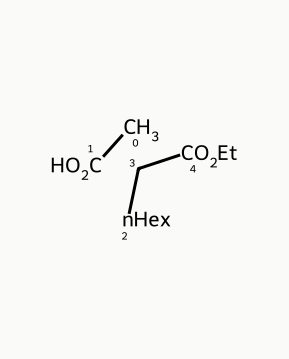 CC(=O)O.CCCCCCCC(=O)OCC